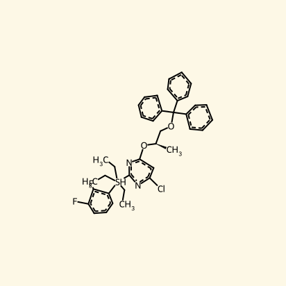 CC[SH](CC)(CC)(c1nc(Cl)cc(O[C@H](C)COC(c2ccccc2)(c2ccccc2)c2ccccc2)n1)c1cccc(F)c1F